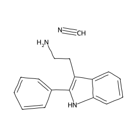 C#N.NCCc1c(-c2ccccc2)[nH]c2ccccc12